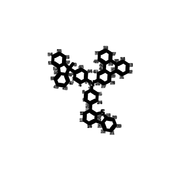 CC1(c2ccc(N(c3ccc(-c4cccc5c4sc4ccccc45)cc3)c3ccc4c5ccccc5c5ccccc5c4c3)cc2)c2ccccc2-c2ccccc21